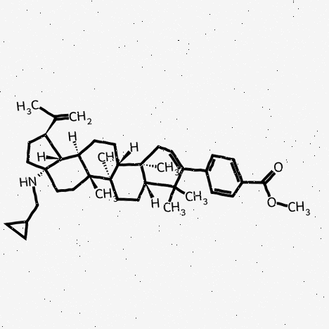 C=C(C)[C@@H]1CC[C@]2(NCC3CC3)CC[C@]3(C)[C@H](CC[C@@H]4[C@@]5(C)CC=C(c6ccc(C(=O)OC)cc6)C(C)(C)[C@@H]5CC[C@]43C)[C@@H]12